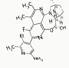 CCc1c(-c2nc3c4c(nc(C)c(C)c4c2F)N2C[C@H]4CC[C@H](N4)[C@H]2[C@H](C)O3)cc(N)nc1C